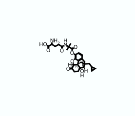 CC(C)(NC(=O)CCC(N)C(=O)O)C(=O)Oc1ccc2c3c1O[C@H]1C(=O)CC[C@@]4(O)[C@@H](C2)N(CC2CC2)CC[C@]314